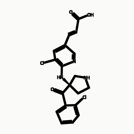 O=C(O)/C=C/c1cnc(N[C@]2(C(=O)c3ccccc3Cl)CCNC2)c(Cl)c1